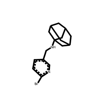 Brc1ccc(CNC23CC4CC(CC(C4)C2)C3)cn1